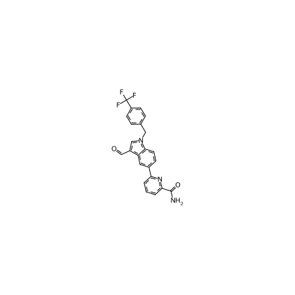 NC(=O)c1cccc(-c2ccc3c(c2)c(C=O)cn3Cc2ccc(C(F)(F)F)cc2)n1